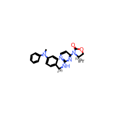 CC(C)[C@H]1COC(=O)N1c1ccnc(N[C@H](C)c2ccc(N(C)c3ccccc3)cc2)n1